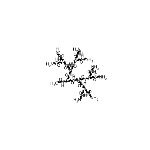 CCCC(=O)NCCN(CCC(=O)NCCN(CCC(=O)NCCN(CCC(=O)NCCN)CCC(=O)NCCN)CCC(=O)NCCN(CCC(=O)NCCN)CCC(=O)NCCN)CCC(=O)NCCN(CCC(=O)NCCN(CCC(=O)NCCN)CCC(=O)NCCN)CCC(=O)NCCN(CCC(=O)NCCN)CCC(=O)NCCN